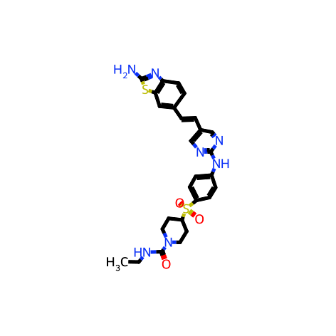 CCNC(=O)N1CCC(S(=O)(=O)c2ccc(Nc3ncc(/C=C/c4ccc5nc(N)sc5c4)cn3)cc2)CC1